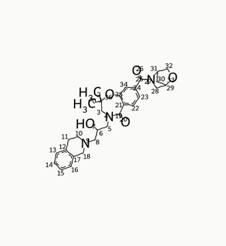 CC1(C)CN(CC(O)CN2CCc3ccccc3C2)C(=O)c2ccc(C(=O)N3CC4CC3CO4)cc2O1